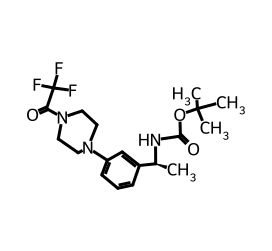 C[C@H](NC(=O)OC(C)(C)C)c1cccc(N2CCN(C(=O)C(F)(F)F)CC2)c1